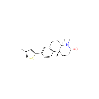 Cc1csc(-c2ccc3c(c2)CC[C@H]2N(C)C(=O)CC[C@]32C)c1